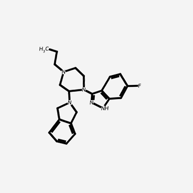 CCCN1CCN(c2n[nH]c3cc(F)ccc23)C(N2Cc3ccccc3C2)C1